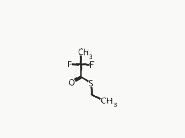 CCSC(=O)C(C)(F)F